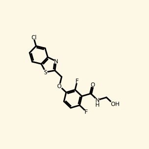 O=C(NCO)c1c(F)ccc(OCc2nc3cc(Cl)ccc3s2)c1F